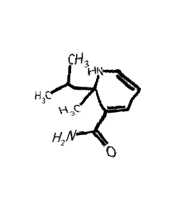 CC(C)C1(C)NC=CC=C1C(N)=O